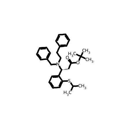 CC(C)Sc1ccccc1[C@@H](CC(=O)OC(C)(C)C)N(CCc1ccccc1)Cc1ccccc1